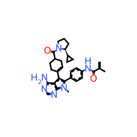 C=C(C)C(=O)Nc1ccc(-c2c(C3=CCC(C(=O)N4CCC[C@H]4C4CC4)CC3)c3c(N)ncnc3n2C)cc1